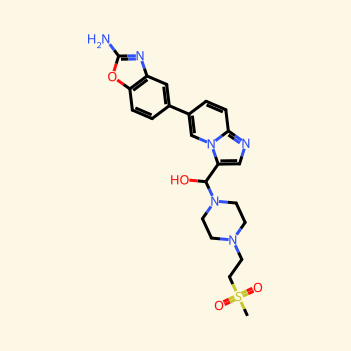 CS(=O)(=O)CCN1CCN(C(O)c2cnc3ccc(-c4ccc5oc(N)nc5c4)cn23)CC1